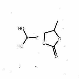 CC1COC(=O)O1.OB(O)F